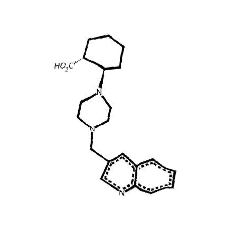 O=C(O)[C@@H]1CCCC[C@H]1N1CCN(Cc2cnc3ccccc3c2)CC1